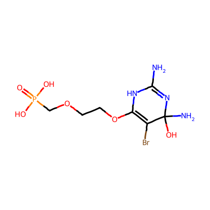 NC1=NC(N)(O)C(Br)=C(OCCOCP(=O)(O)O)N1